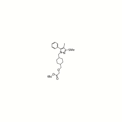 CSc1nn(CC2CCC(COCC(=O)OC(C)(C)C)CC2)c(-c2ccccc2)c1I